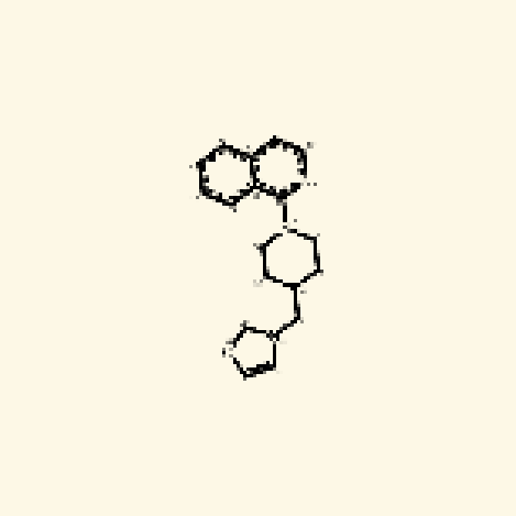 C1=CN(CC2CCN(c3nccc4ccccc34)CC2)CO1